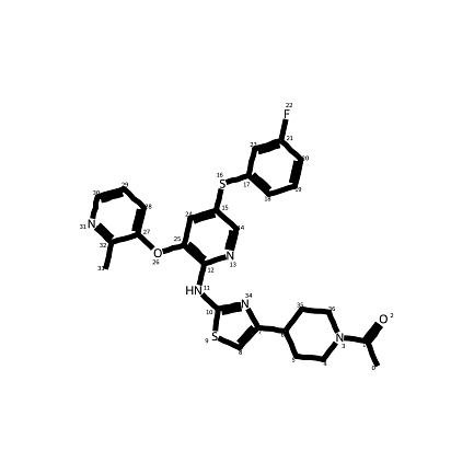 CC(=O)N1CCC(c2csc(Nc3ncc(Sc4cccc(F)c4)cc3Oc3cccnc3C)n2)CC1